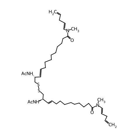 C=CC/C=C/N(C)C(=O)CCCCCCCC/C=C/[C@H](CSSC[C@@H](/C=C/CCCCCCCCC(=O)N(C)/C=C/CC=C)NC(C)=O)NC(C)=O